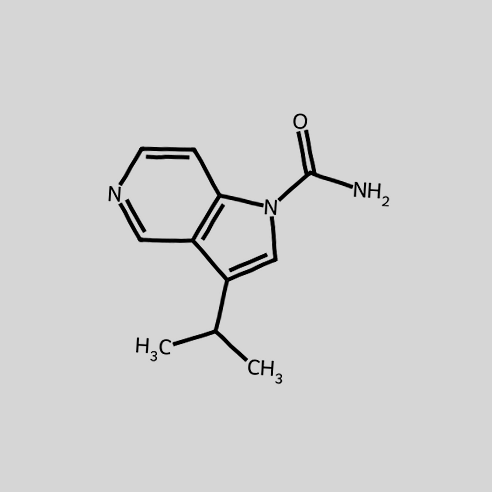 CC(C)c1cn(C(N)=O)c2ccncc12